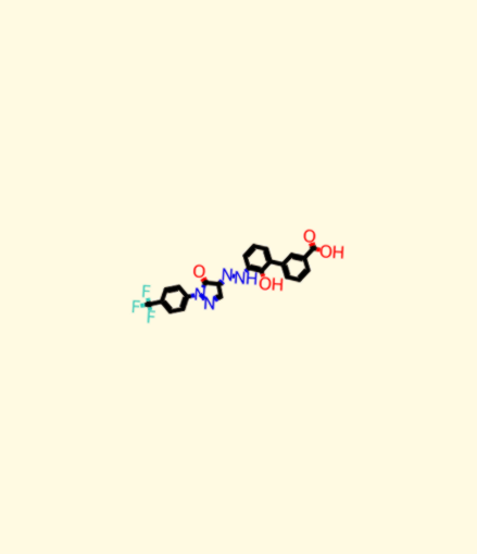 O=C(O)c1cccc(-c2cccc(NN=C3C=NN(c4ccc(C(F)(F)F)cc4)C3=O)c2O)c1